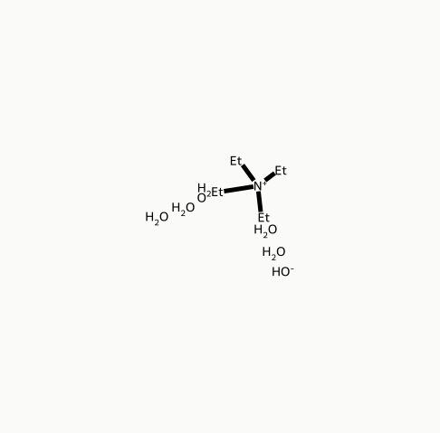 CC[N+](CC)(CC)CC.O.O.O.O.O.[OH-]